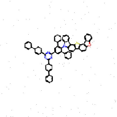 C1=CC(c2cc(-c3nc(C4=CCC(c5ccccc5)C=C4)nc(-c4ccc(-c5ccccc5)cc4)n3)cc(-c3ccccc3)c2-n2c3ccccc3c3c4sc5c(ccc6oc7ccccc7c65)c4ccc32)=CCC1